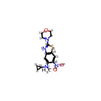 CN(c1cc2nc(N3CCOCC3)sc2cc1[N+](=O)[O-])C1CC1